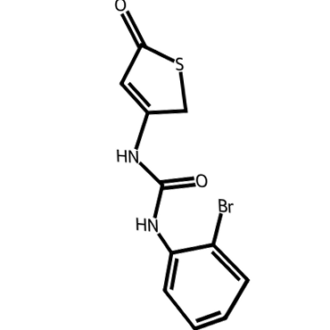 O=C(NC1=CC(=O)SC1)Nc1ccccc1Br